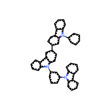 c1ccc(-n2c3ccccc3c3ccc(-c4ccc5c(c4)c4ccccc4n5-c4cccc(-n5c6ccccc6c6ccccc65)c4)cc32)cc1